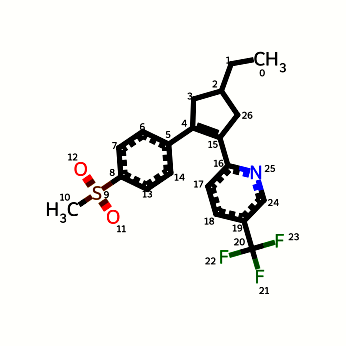 CCC1CC(c2ccc(S(C)(=O)=O)cc2)=C(c2ccc(C(F)(F)F)cn2)C1